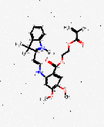 C=C(C)C(=O)OCCOC(=O)c1cc(OC)c(OC)cc1N/C=C/C1=[N+](C)c2ccccc2C1(C)C